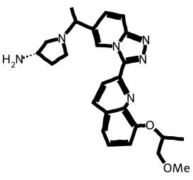 COCC(C)Oc1cccc2ccc(-c3nnc4ccc(C(C)N5CC[C@H](N)C5)cn34)nc12